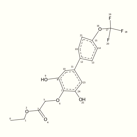 CCOC(=O)COc1c(O)cc(-c2ccc(OC(F)(F)F)cc2)cc1O